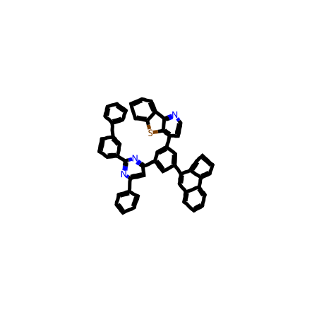 c1ccc(-c2cccc(-c3nc(-c4ccccc4)cc(-c4cc(-c5cc6ccccc6c6ccccc56)cc(-c5ccnc6c5sc5ccccc56)c4)n3)c2)cc1